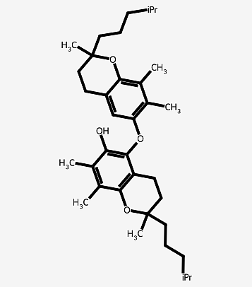 Cc1c(Oc2c(O)c(C)c(C)c3c2CCC(C)(CCCC(C)C)O3)cc2c(c1C)OC(C)(CCCC(C)C)CC2